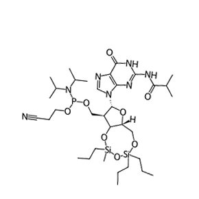 CCC[Si]1(C)OC2[C@@H](COP(OCCC#N)N(C(C)C)C(C)C)[C@H](n3cnc4c(=O)[nH]c(NC(=O)C(C)C)nc43)O[C@@H]2CO[Si](CCC)(CCC)O1